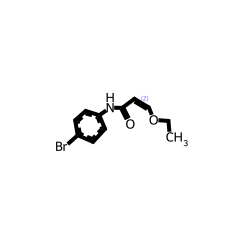 CCO/C=C\C(=O)Nc1ccc(Br)cc1